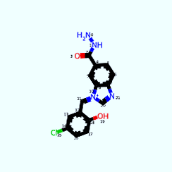 NNC(=O)c1ccc2c(c1)[N+](=Cc1cc(Cl)ccc1O)C=N2